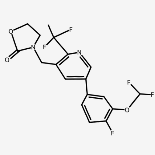 CC(F)(F)c1ncc(-c2ccc(F)c(OC(F)F)c2)cc1CN1CCOC1=O